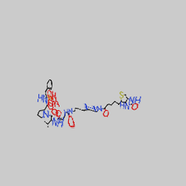 CC(C)C(NC(=O)CCC(=O)NCCCCCNC(=O)CCCCC1SCC2NC(=O)NC21)C(=O)N1CCCC1C(=O)NC(Cc1ccccc1)P(=O)(O)O